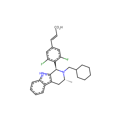 C[C@@H]1Cc2c([nH]c3ccccc23)[C@@H](c2c(F)cc(/C=C/C(=O)O)cc2F)N1CC1CCCCC1